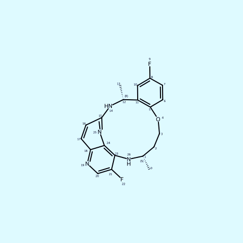 C[C@H]1CCOc2ccc(F)cc2[C@@H](C)Nc2ccc3ncc(F)c(c3n2)N1